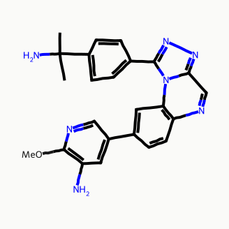 COc1ncc(-c2ccc3ncc4nnc(-c5ccc(C(C)(C)N)cc5)n4c3c2)cc1N